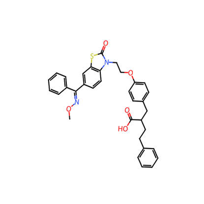 CON=C(c1ccccc1)c1ccc2c(c1)sc(=O)n2CCOc1ccc(CC(CCc2ccccc2)C(=O)O)cc1